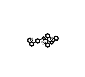 C[Si]1(C)c2ccccc2C2(c3ccccc3-n3c4ccccc4c4cccc2c43)c2cccc(-c3ccc(-c4cccc5cccnc45)cc3)c21